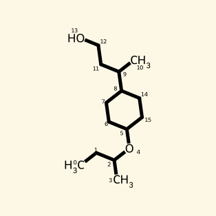 CCC(C)OC1CCC(C(C)CCO)CC1